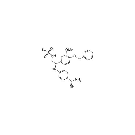 CCS(=O)(=O)NCC(Nc1ccc(C(=N)N)cc1)c1ccc(OCc2ccccc2)c(OC)c1